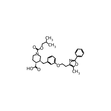 Cc1oc(-c2ccccc2)nc1CCOc1cccc(C[C@@H]2CN(C(=O)OCC(C)C)CC[C@@H]2C(=O)O)c1